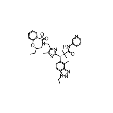 CC[C@@H]1CN(Cc2nc([C@@H](c3ccc4c(nnn4CC)c3C)C(C)(C)C(=O)Nc3cccnc3)sc2C)S(=O)(=O)c2ccccc2O1